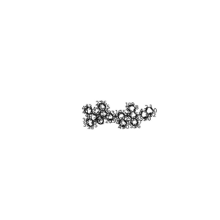 c1ccc2cc(-c3c4ccccc4c(-c4ccc(-c5ccc6c(c5)c5ccccc5c5c6oc6c7ccccc7c7ccccc7c65)c5ccccc45)c4ccccc34)ccc2c1